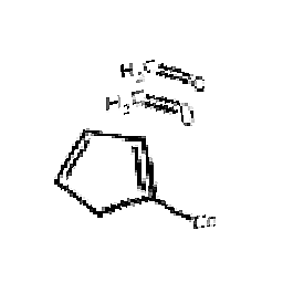 C=O.C=O.[Co][C]1=CC=CC1